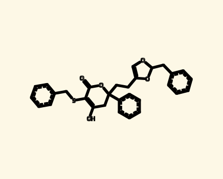 O=C1OC(CCC2=COC(Cc3ccccc3)O2)(c2ccccc2)CC(O)=C1SCc1ccccc1